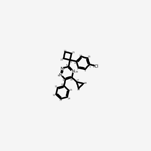 Clc1ccc(C2(c3nnc(-c4ccccc4)c(C4CC4)n3)CCC2)cc1